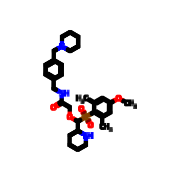 COc1cc(C)c(S(=O)(=O)C(OCC(=O)NCc2ccc(CN3CCCCC3)cc2)C2CCCCN2)c(C)c1